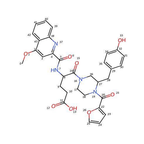 COc1cc(C(=O)NC(CCC(=O)O)C(=O)N2CCN(C(=O)c3ccco3)C(Cc3ccc(O)cc3)C2)nc2ccccc12